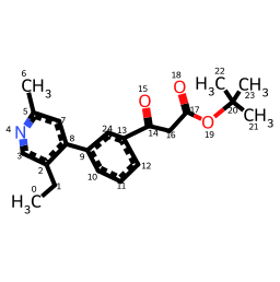 CCc1cnc(C)cc1-c1cccc(C(=O)CC(=O)OC(C)(C)C)c1